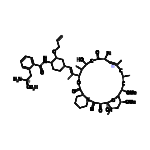 C=CCOC1CC(C=C(C)C2OC(=O)C3CCCCN3C(=O)C(=O)C3(O)OC(C(OC)CC(C)C/C(C)=C/C(CC)C(=O)CC(O)C2C)C(OC)CC3C)CCC1NC(=O)c1ccccc1C[C@H](N)C(=O)O